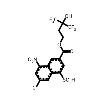 O=C(OCCC(O)(C(F)(F)F)C(F)(F)F)c1cc(S(=O)(=O)O)c2cc(Cl)cc([N+](=O)[O-])c2c1